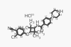 CC1(C)C(NC(=O)c2ccc(N3CCNCC3)cc2)C(C)(C)C1Oc1ccc(C#N)c(Cl)c1.Cl